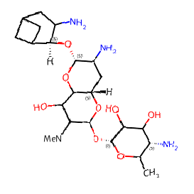 CNC1C(O[C@H]2OC(C)[C@@H](N)C(O)C2O)O[C@H]2CC(N)[C@@H](O[C@@H]3C(N)CC4CC3C4)OC2C1O